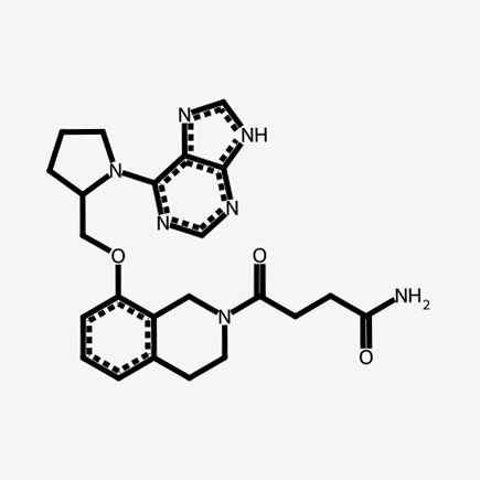 NC(=O)CCC(=O)N1CCc2cccc(OCC3CCCN3c3ncnc4[nH]cnc34)c2C1